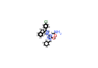 NC(=O)Cn1c(N2C[C@@]3(CCc4ccccc43)C(c3ccc(Cl)cc3)=N2)nn(CC2CCCCC2)c1=O